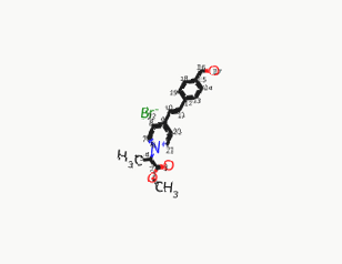 COC(=O)C(C)[n+]1ccc(C=Cc2ccc(C=O)cc2)cc1.[Br-]